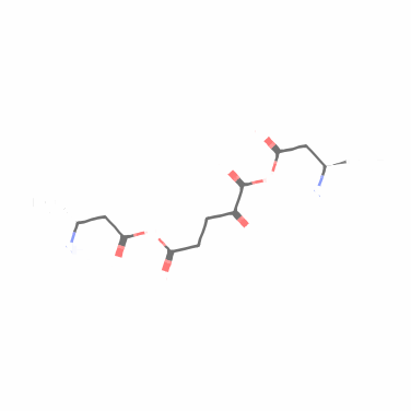 N[C@@H](CC(=O)OC(=O)CCC(=O)C(=O)OC(=O)C[C@H](N)C(=O)O)C(=O)O